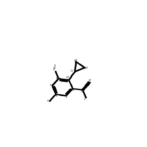 C=C(C)c1cc(C)cc(F)c1C1CC1